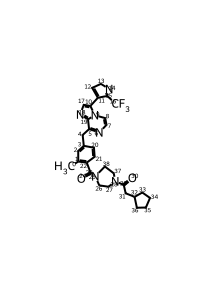 Cc1cc(Cc2nccn3c(C4=CCN=C4C(F)(F)F)cnc23)ccc1C(=O)N1CCN(C(=O)CC2CCCC2)CC1